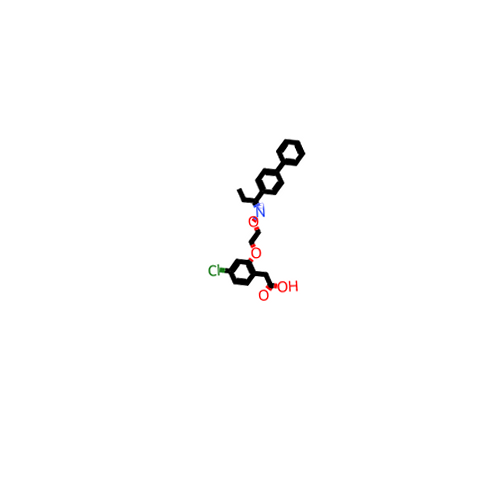 CC/C(=N\OCCOc1cc(Cl)ccc1CC(=O)O)c1ccc(-c2ccccc2)cc1